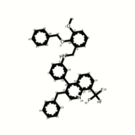 COc1cccc(CNc2cccc(-c3c(Cc4ccccc4)cnc4c(C(F)(F)F)cccc34)c2)c1OCc1ccccc1